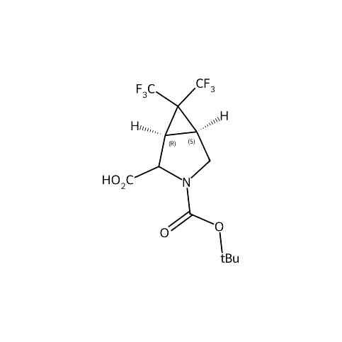 CC(C)(C)OC(=O)N1C[C@H]2[C@@H](C1C(=O)O)C2(C(F)(F)F)C(F)(F)F